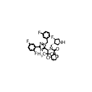 CC(C)(C)[C@H](c1nc(-c2cc(F)ccc2F)nn1Cc1cccc(F)c1)N(C[C@H]1CNC[C@@H]1F)C(=O)C1CCCO1